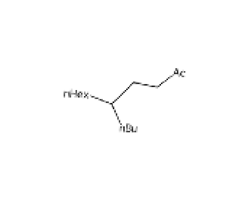 CCCCCCC(CCCC)CCC(C)=O